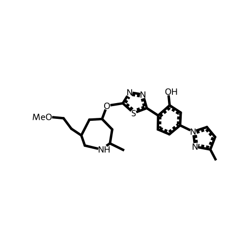 COCCC1CNC(C)CC(Oc2nnc(-c3ccc(-n4ccc(C)n4)cc3O)s2)C1